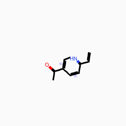 C=CC(=N)/C=C\C(=C/C)C(C)=O